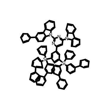 c1ccc(-c2cccc([Si](c3ccccc3)(c3cccc(-c4ccccc4)c3)c3cc(-c4cc(-n5c6ccccc6c6ccccc65)nc(-n5c6ccccc6c6cc(-c7ccccc7)ccc65)n4)cc([Si](c4ccccc4)(c4cccc(-c5ccccc5)c4)c4cccc(-c5ccccc5)c4)c3)c2)cc1